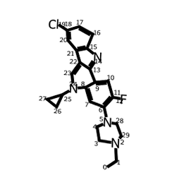 CCN1CCN(c2cc3c(cc2F)c2nc4ccc(Cl)cc4c-2cn3C2CC2)CC1